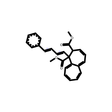 COC(=O)C1C=CC=C2C=CC=CC=C2C1(/C=C/C=C/c1ccccc1)C(=O)OC